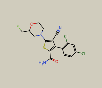 N#Cc1c(N2CCOC(CF)C2)sc(C(N)=O)c1-c1ccc(Cl)cc1Cl